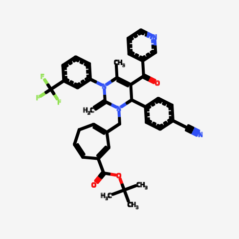 C=C1N(c2cccc(C(F)(F)F)c2)C(C)=C(C(=O)c2cccnc2)C(c2ccc(C#N)cc2)N1CC1=CCC=CC(C(=O)OC(C)(C)C)=C1